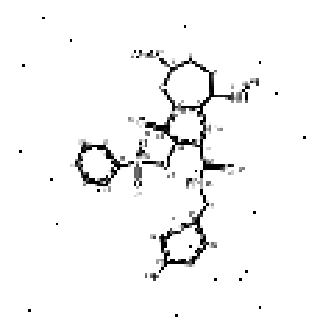 CCN[C@@H]1CC[C@H](OC)Cn2c1nc(C(=O)NCc1ccc(F)cc1)c(OS(=O)(=O)c1ccccc1)c2=O